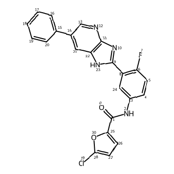 O=C(Nc1ccc(F)c(-c2nc3ncc(-c4ccccc4)cc3[nH]2)c1)c1ccc(Cl)o1